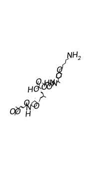 CC(=O)OC(C)C=CC(=O)N[C@@H]1C[C@H](C)[C@H](CC=C(C)C=C[C@H]2O[C@H](CC(=O)NN=C(C)c3ccc(OCCCCCN)cc3)C[C@@]3(CO3)[C@@H]2O)O[C@@H]1C